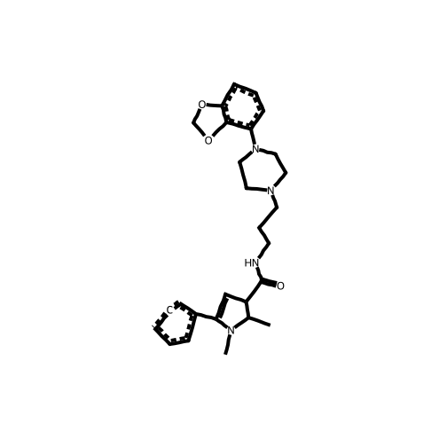 CC1C(C(=O)NCCCN2CCN(c3cccc4c3OCO4)CC2)C=C(c2ccccc2)N1C